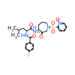 CC(C)CC(NC(=O)c1ccc(F)cc1)C(=O)N[C@H]1CCCN(S(=O)(=O)c2cccc[n+]2[O-])CC1=O